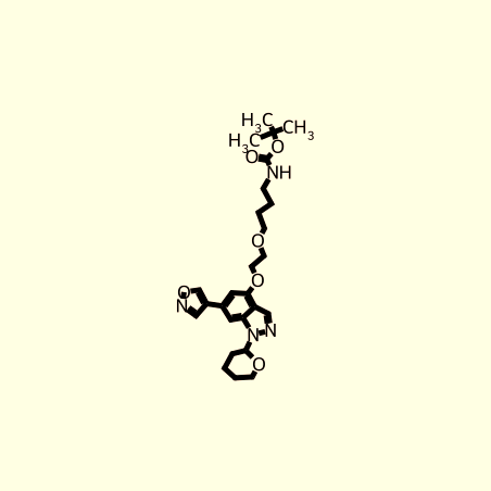 CC(C)(C)OC(=O)NCCCCOCCOc1cc(-c2cnoc2)cc2c1cnn2C1CCCCO1